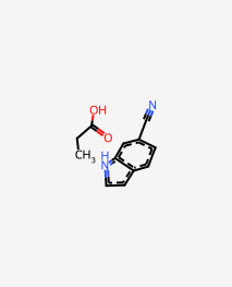 CCC(=O)O.N#Cc1ccc2cc[nH]c2c1